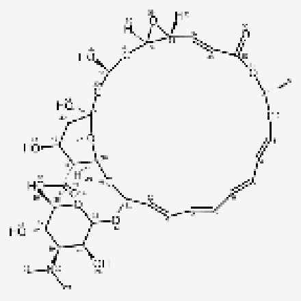 C[C@@H]1C/C=C/C=C/C=C/C=C/[C@H](OC2O[C@H](C)[C@@H](O)[C@H](N(C)C)[C@@H]2O)C[C@@H]2O[C@](O)(C[C@@H](O)C[C@H]3O[C@@H]3/C=C/C(=O)O1)C[C@H](O)[C@H]2C(=O)O